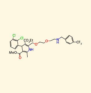 CCOC(=O)C1=C(COCCOCCNCc2ccc(C(F)(F)F)cc2)NC(C)=C(C(=O)OC)C1c1cccc(Cl)c1Cl